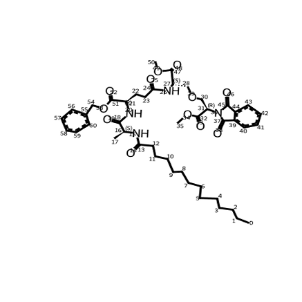 CCCCCCCCCCCCCC(=O)N[C@@H](C)C(=O)N[C@H](CCC(=O)N[C@@H](COC[C@H](C(=O)OC)N1C(=O)c2ccccc2C1=O)C(=O)OC)C(=O)OCc1ccccc1